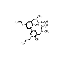 C=CCc1cc(CN(C)CC(=O)O)c(O)c(-c2cc(CC=C)c(O)c(CN(C)CC(=O)O)c2)c1